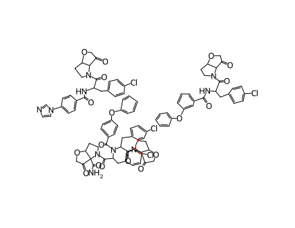 NC(=O)C12C(=O)COC1CCN2C(=O)C(Cc1ccc(Cl)cc1)N(C(=O)c1ccc(Oc2ccccc2)cc1)C(Cc1ccc(Cl)cc1)C(=O)N1CCC2OCC(=O)C21.O=C(NC(Cc1ccc(Cl)cc1)C(=O)N1CCC2OCC(=O)C21)c1ccc(-n2ccnc2)cc1.O=C(NC(Cc1ccc(Cl)cc1)C(=O)N1CCC2OCC(=O)C21)c1cccc(Oc2ccccc2)c1